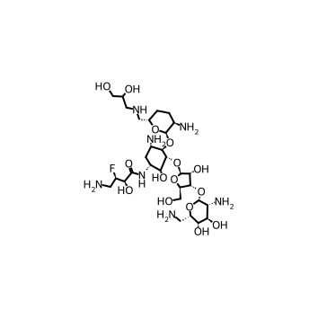 NC[C@@H](F)[C@H](O)C(=O)N[C@@H]1C[C@H](N)[C@@H](O[C@H]2O[C@H](CNCC(O)CO)CC[C@H]2N)[C@H](O[C@@H]2O[C@H](CO)[C@@H](O[C@H]3O[C@@H](CN)[C@@H](O)[C@H](O)[C@H]3N)[C@H]2O)[C@H]1O